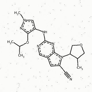 CC(C)Oc1nn(C)cc1Nc1ncc2cc(C#N)n(C3COCC3C)c2n1